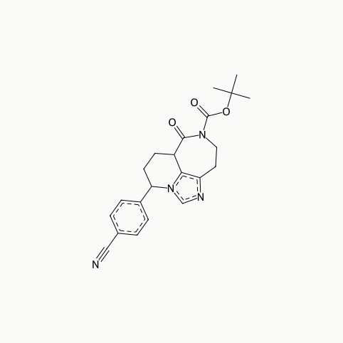 CC(C)(C)OC(=O)N1CCc2ncn3c2C(CCC3c2ccc(C#N)cc2)C1=O